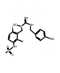 CC(C)(C)c1ccc(CNC(=N)N(C#N)Cc2c(F)ccc(NS(C)(=O)=O)c2F)cc1